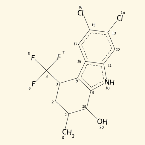 CC1CC(C(F)(F)F)c2c([nH]c3cc(Cl)c(Cl)cc23)C1O